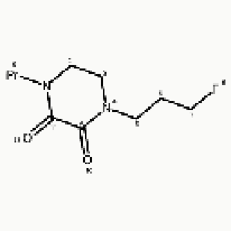 CC(C)N1CCN(CCCF)C(=O)C1=O